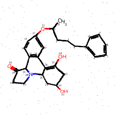 CC(CCCc1ccccc1)Oc1ccc2c(c1)C1=C(O)CC(O)CC1N1CCC(=O)C21